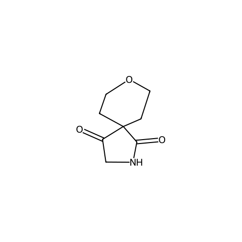 O=C1CNC(=O)C12CCOCC2